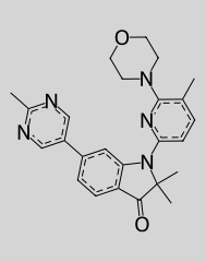 Cc1ncc(-c2ccc3c(c2)N(c2ccc(C)c(N4CCOCC4)n2)C(C)(C)C3=O)cn1